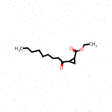 CCCCCCCCC(=O)C1CC1C(=O)OCC